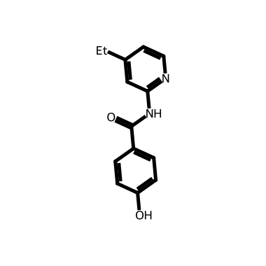 CCc1ccnc(NC(=O)c2ccc(O)cc2)c1